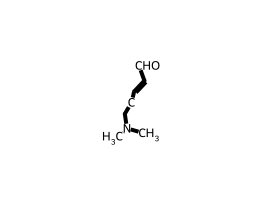 CN(C)CCC=CC=O